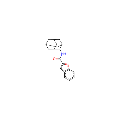 O=C(NC1C2CC3CC(C2)CC1C3)c1cc2ccccc2o1